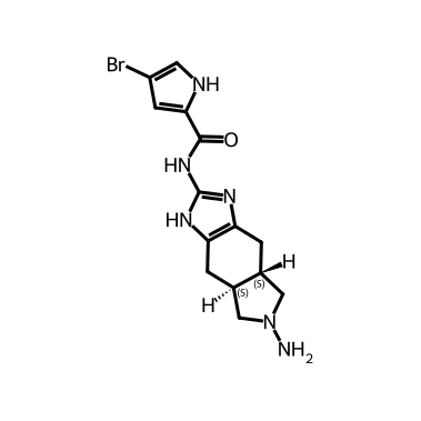 NN1C[C@H]2Cc3nc(NC(=O)c4cc(Br)c[nH]4)[nH]c3C[C@@H]2C1